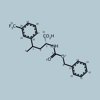 CC(C[C@@H](NC(=O)OCc1ccccc1)C(=O)O)c1cccc(C(F)(F)F)c1